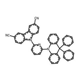 N#Cc1ccc2c(c1)c1cc(C#N)ccc1n2-c1cccc(N2c3ccccc3C(c3ccccc3)(c3ccccc3)c3ccccc32)n1